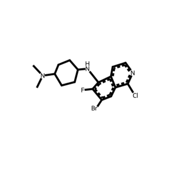 CN(C)C1CCC(Nc2c(F)c(Br)cc3c(Cl)nccc23)CC1